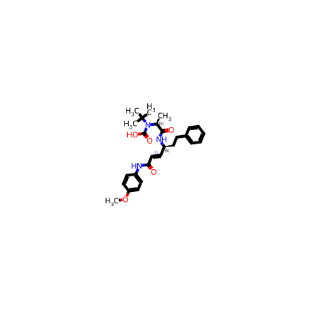 COc1ccc(NC(=O)/C=C/[C@H](CCc2ccccc2)NC(=O)[C@H](C)N(C(=O)O)C(C)(C)C)cc1